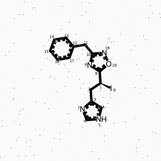 I[C@@H](Cc1c[nH]cn1)c1nc(Cc2ccccc2)no1